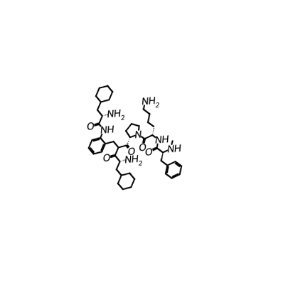 CN[C@@H](Cc1ccccc1)C(=O)N[C@@H](CCCCN)C(=O)N1CCC[C@H]1C(=O)C(Cc1ccccc1NC(=O)[C@@H](N)CC1CCCCC1)C(=O)[C@H](N)CC1CCCCC1